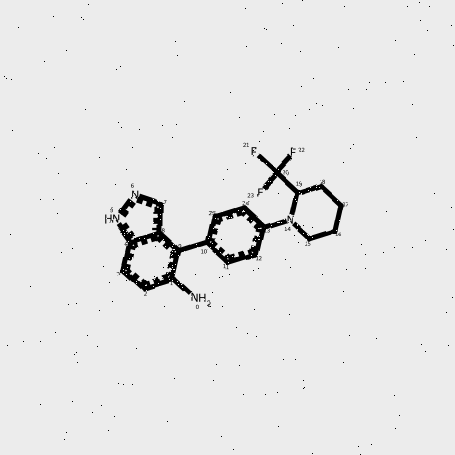 Nc1ccc2[nH]ncc2c1-c1ccc(N2CCCCC2C(F)(F)F)cc1